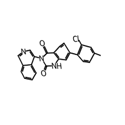 Cc1ccc(-c2ccc3c(=O)n(-c4cncc5ccccc45)c(=O)[nH]c3c2)c(Cl)c1